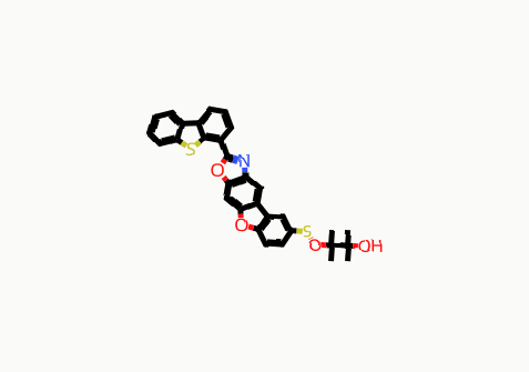 CC(C)(O)C(C)(C)OSc1ccc2oc3cc4oc(-c5cccc6c5sc5ccccc56)nc4cc3c2c1